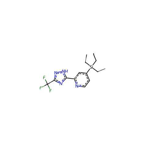 CC[Si](CC)(CC)c1ccnc(-c2nc(C(F)(F)F)n[nH]2)c1